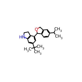 CC(C)c1ccc2c(c1)COC2c1cc(C(C)(C)C)cc2c1CCN2